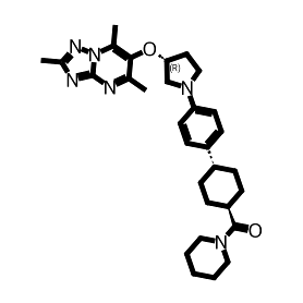 Cc1nc2nc(C)c(O[C@@H]3CCN(c4ccc([C@H]5CC[C@H](C(=O)N6CCCCC6)CC5)cc4)C3)c(C)n2n1